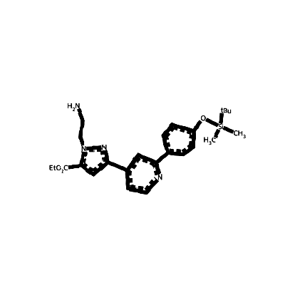 CCOC(=O)c1cc(-c2ccnc(-c3ccc(O[Si](C)(C)C(C)(C)C)cc3)c2)nn1CCN